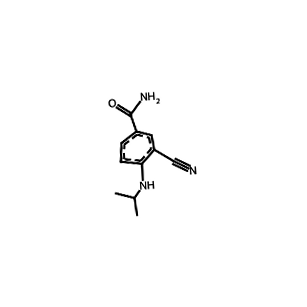 CC(C)Nc1ccc(C(N)=O)cc1C#N